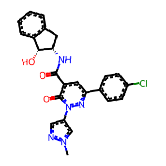 Cn1cc(-n2nc(-c3ccc(Cl)cc3)cc(C(=O)N[C@H]3Cc4ccccc4[C@H]3O)c2=O)cn1